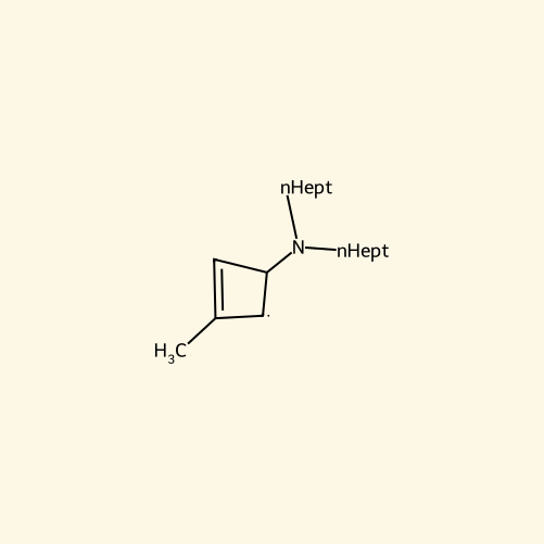 CCCCCCCN(CCCCCCC)C1[CH]C(C)=C1